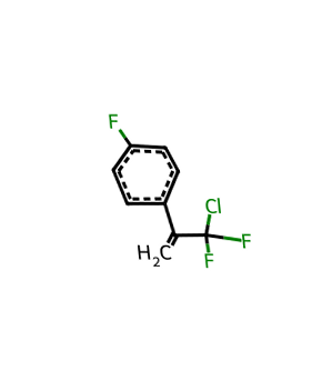 C=C(c1ccc(F)cc1)C(F)(F)Cl